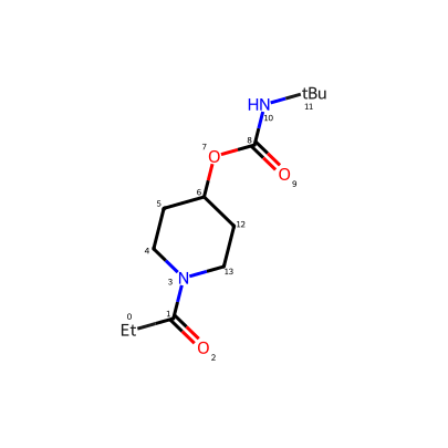 CCC(=O)N1CCC(OC(=O)NC(C)(C)C)CC1